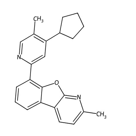 Cc1ccc2c(n1)oc1c(-c3cc(C4CCCC4)c(C)cn3)cccc12